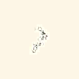 Cc1ccc(-n2cc3c(N4CCC[C@H](C(=O)NCc5cc6ccsc6cn5)C4)ncnc3n2)cc1F